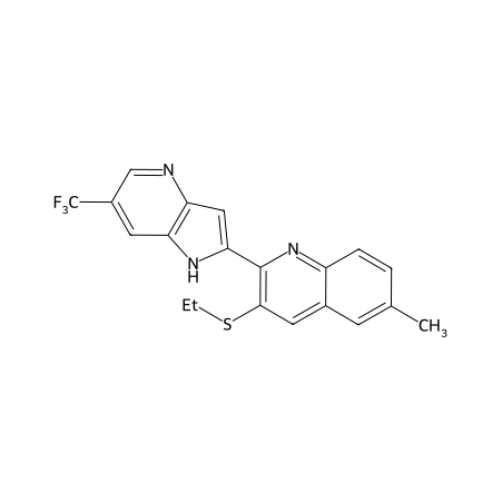 CCSc1cc2cc(C)ccc2nc1-c1cc2ncc(C(F)(F)F)cc2[nH]1